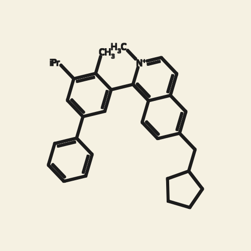 Cc1c(-c2c3ccc(CC4CCCC4)cc3cc[n+]2C)cc(-c2ccccc2)cc1C(C)C